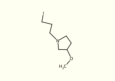 COC1CCN(CCCI)C1